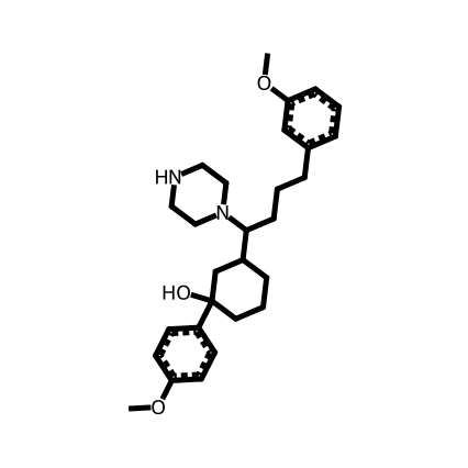 COc1ccc(C2(O)CCCC(C(CCCc3cccc(OC)c3)N3CCNCC3)C2)cc1